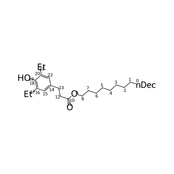 CCCCCCCCCCCCCCCCCCOC(=O)CCc1cc(CC)c(O)c(CC)c1